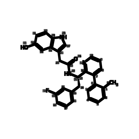 Cc1ccccc1-c1cccnc1[C@H](Cc1cccc(F)c1)NC(=O)Cc1c[nH]c2ccc(O)cc12